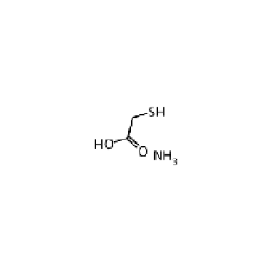 N.O=C(O)CS